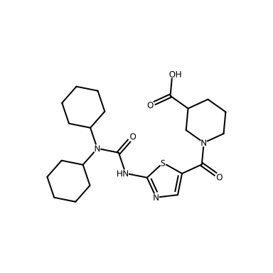 O=C(O)C1CCCN(C(=O)c2cnc(NC(=O)N(C3CCCCC3)C3CCCCC3)s2)C1